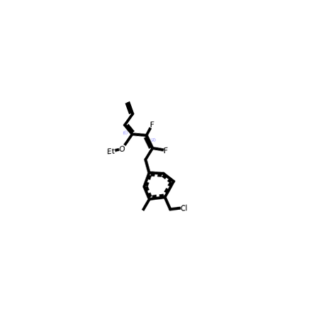 C=C/C=C(OCC)\C(F)=C(\F)Cc1ccc(CCl)c(C)c1